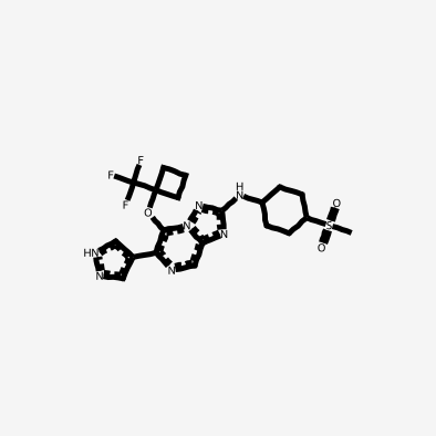 CS(=O)(=O)C1CCC(Nc2nc3cnc(-c4cn[nH]c4)c(OC4(C(F)(F)F)CCC4)n3n2)CC1